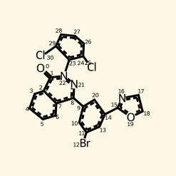 O=c1c2ccccc2c(-c2cc(Br)cc(-c3ncco3)c2)nn1-c1c(Cl)cccc1Cl